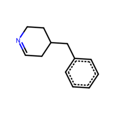 C1=NCCC(Cc2ccccc2)C1